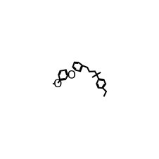 CCc1ccc(C(C)(C)CCCc2cccc(Oc3cccc(OC)c3)c2)cc1